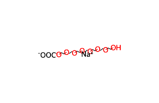 O=C([O-])COCCOCCOCCOCCOCCOCCOCCO.[Na+]